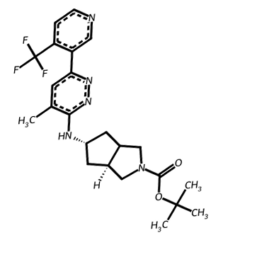 Cc1cc(-c2cnccc2C(F)(F)F)nnc1N[C@@H]1CC2CN(C(=O)OC(C)(C)C)C[C@H]2C1